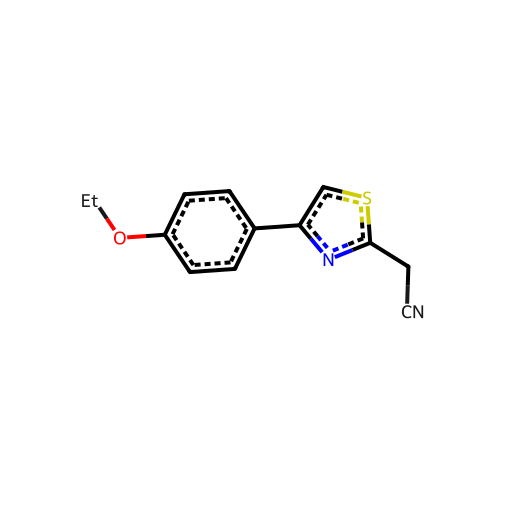 CCOc1ccc(-c2csc(CC#N)n2)cc1